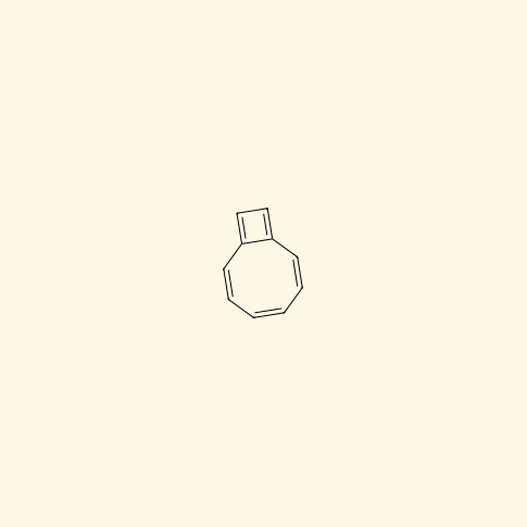 c1cccc2ccc-2cc1